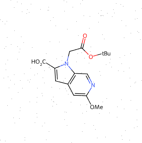 COc1cc2cc(C(=O)O)n(CC(=O)OC(C)(C)C)c2cn1